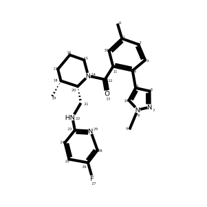 Cc1ccc(-c2cnn(C)c2)c(C(=O)N2CCC[C@@H](C)[C@H]2CNc2ccc(F)cn2)c1